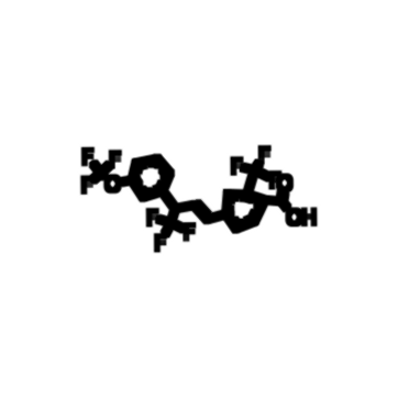 O=C(O)c1ccc(/C=C/C(c2cccc(OC(F)(F)F)c2)C(F)(F)F)cc1C(F)(F)F